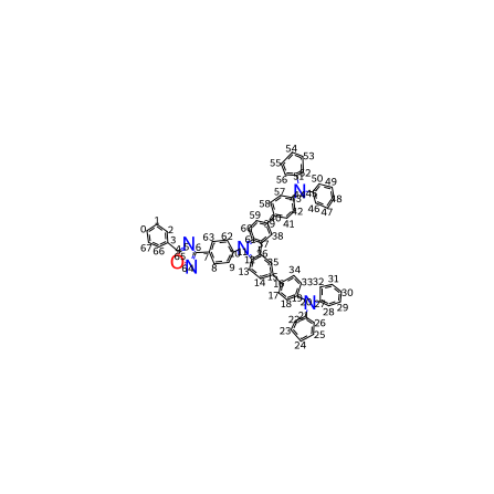 c1ccc(-c2nc(-c3ccc(-n4c5ccc(-c6ccc(N(c7ccccc7)c7ccccc7)cc6)cc5c5cc(-c6ccc(N(c7ccccc7)c7ccccc7)cc6)ccc54)cc3)no2)cc1